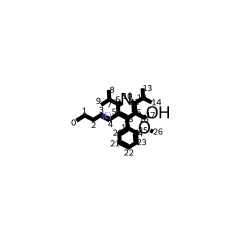 CCC/C=C/c1c(C(C)C)nc(C(C)C)c(CO)c1-c1ccccc1OC